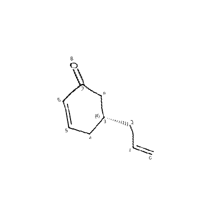 C=CC[C@@H]1CC=CC(=O)C1